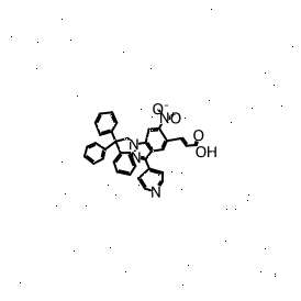 O=C(O)C=Cc1cc2c(-c3ccncc3)nn(CC(c3ccccc3)(c3ccccc3)c3ccccc3)c2cc1[N+](=O)[O-]